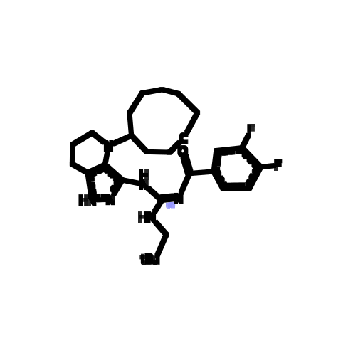 CC(C)(C)CN/C(=N/C(=O)c1ccc(F)c(F)c1)Nc1n[nH]c2c1N(C1CCCCCCCC1)CCC2